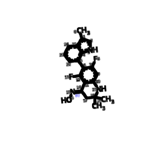 Cc1c[nH]c2c(-c3c(F)cc4c(c3F)/C(=N/O)CC(C)(C)N4)cccc12